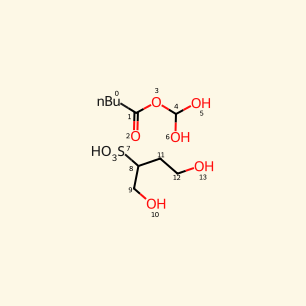 CCCCC(=O)OC(O)O.O=S(=O)(O)C(CO)CCO